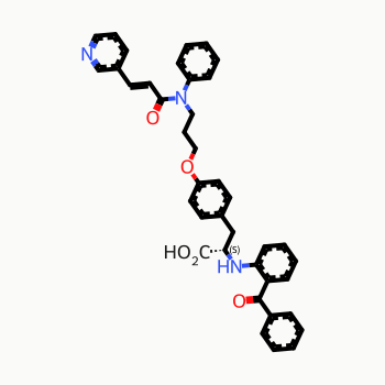 O=C(c1ccccc1)c1ccccc1N[C@@H](Cc1ccc(OCCCN(C(=O)C=Cc2cccnc2)c2ccccc2)cc1)C(=O)O